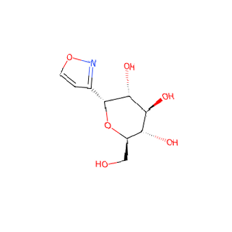 OC[C@H]1O[C@H](c2ccon2)[C@H](O)[C@@H](O)[C@@H]1O